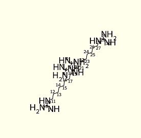 N=C(N)NC(=N)N.N=C(N)NCCCCCCCCNCCCCCCCCNC(=N)N